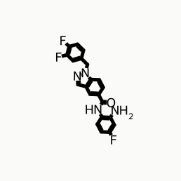 Nc1cc(F)ccc1NC(=O)c1ccc2c(cnn2Cc2ccc(F)c(F)c2)c1